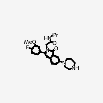 COc1cc(-c2cc3ccc(N4CCCNCC4)cc3c(=O)n2CC(=O)NC(C)C)ccc1F